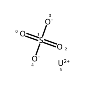 O=S(=O)([O-])[O-].[U+2]